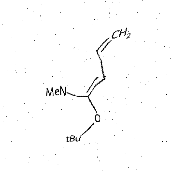 C=C/C=C(\NC)OC(C)(C)C